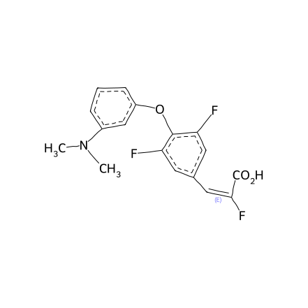 CN(C)c1cccc(Oc2c(F)cc(/C=C(/F)C(=O)O)cc2F)c1